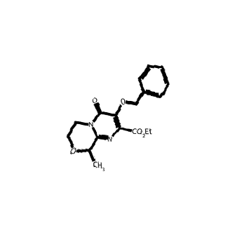 CCOC(=O)c1nc2n(c(=O)c1OCc1ccccc1)CCOC2C